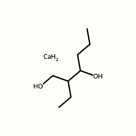 CCCC(O)C(CC)CO.[CaH2]